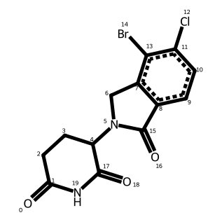 O=C1CCC(N2Cc3c(ccc(Cl)c3Br)C2=O)C(=O)N1